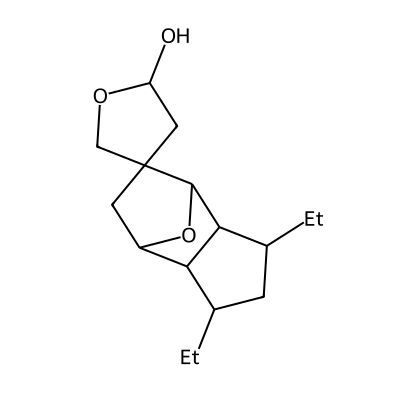 CCC1CC(CC)C2C1C1CC3(COC(O)C3)C2O1